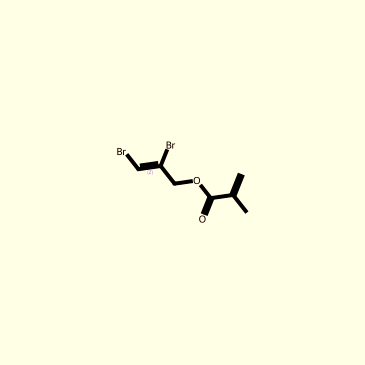 C=C(C)C(=O)OC/C(Br)=C/Br